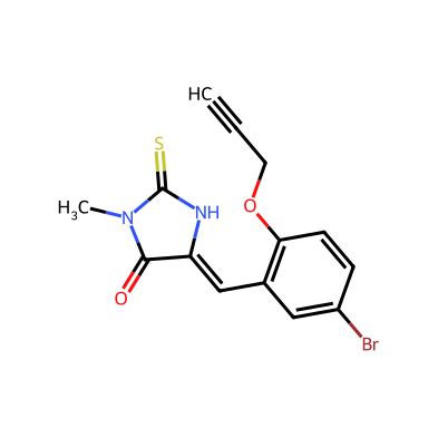 C#CCOc1ccc(Br)cc1/C=C1\NC(=S)N(C)C1=O